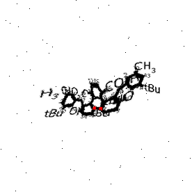 Cc1cc(Cc2cccc(CC(C)(C)C)c2-c2c(C(=O)O)ccc(C(=O)O)c2-c2c(Cc3cc(C)cc(C(C)(C)C)c3O)cccc2CC(C)(C)C)c(O)c(C(C)(C)C)c1